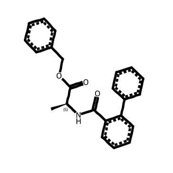 C[C@H](NC(=O)c1ccccc1-c1ccccc1)C(=O)OCc1ccccc1